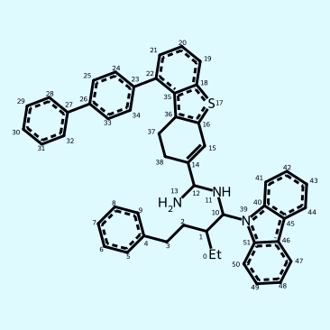 CCC(CCc1ccccc1)C(NC(N)C1=Cc2sc3cccc(-c4ccc(-c5ccccc5)cc4)c3c2CC1)n1c2ccccc2c2ccccc21